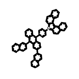 c1ccc2cc(-c3ccc4c(-c5ccc(-n6c7ccc8ccccc8c7c7c8ccccc8ccc76)cc5)c5ccccc5c(-c5ccc6ccccc6c5)c4c3)ccc2c1